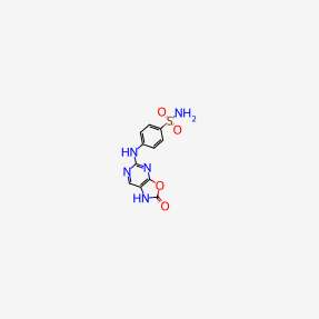 NS(=O)(=O)c1ccc(Nc2ncc3[nH]c(=O)oc3n2)cc1